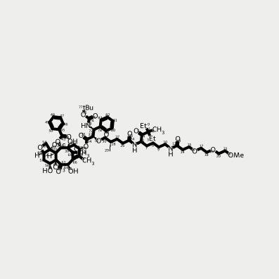 CCC(C)(CC)C(=O)C(CCCCNC(=O)CCOCCOCCOC)NC(=O)CC[C@H](I)C(=O)O[C@@H](C(=O)O[C@H]1C[C@@]2(O)[C@@H](OC(=O)c3ccccc3)[C@@H]3[C@]4(OC(C)=O)CO[C@@H]4C[C@H](O)[C@@]3(C)C(=O)[C@H](O)C(=C1C)C2(C)C)[C@@H](NC(=O)OC(C)(C)C)c1ccccc1